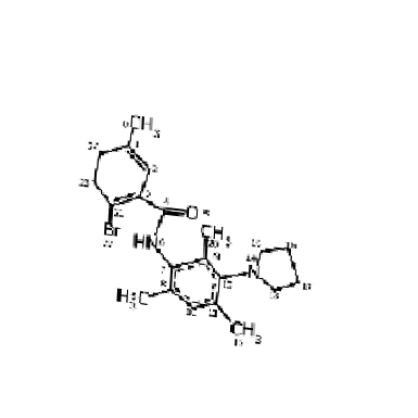 CC1=CC(C(=O)Nc2c(C)cc(C)c(N3CCCC3)c2C)=C(Br)CC1